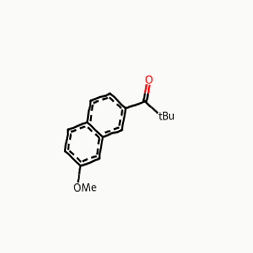 COc1ccc2ccc(C(=O)C(C)(C)C)cc2c1